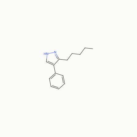 CCCCCc1n[nH]cc1-c1ccccc1